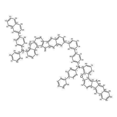 c1ccc(-c2ccc(N(c3ccc(-c4cccc(-c5ccc6cc7c(cc6c5)sc5c7ccc6oc7c(N(c8ccccc8)c8ccc(-c9ccc%10ccccc%10c9)cc8)cccc7c65)c4)cc3)c3cccc4c3oc3ccc5c6cc7ccccc7cc6sc5c34)cc2)cc1